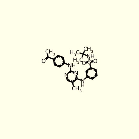 CC(=O)c1ccc(Nc2ncc(C)c(Nc3cccc(S(=O)(=O)NC(C)(C)C)c3)n2)cc1